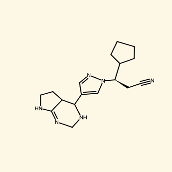 N#CC[C@H](C1CCCC1)n1cc(C2NCN=C3NCCC32)cn1